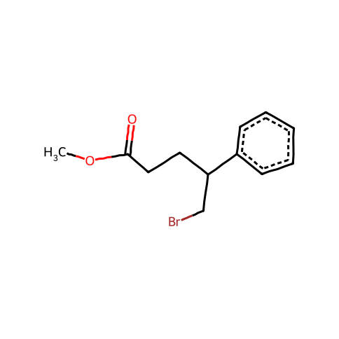 COC(=O)CCC(CBr)c1ccccc1